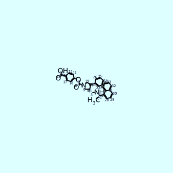 C[C@H](NC[C@@H]1CN(C(=O)Oc2ccc(C(=O)O)cc2)C[C@H]1c1ccccc1)c1cccc2ccccc12